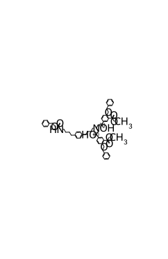 COC(=O)c1cc([C@@H](O)CN(CCCCc2ccc(CCCCNC(=O)OCc3ccccc3)cc2)C[C@H](O)c2ccc(OCc3ccccc3)c(C(=O)OC)c2)ccc1OCc1ccccc1